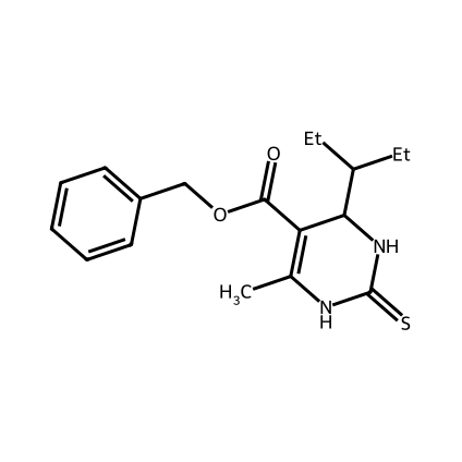 CCC(CC)C1NC(=S)NC(C)=C1C(=O)OCc1ccccc1